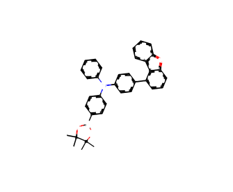 CC1(C)OB(c2ccc(N(c3ccccc3)c3ccc(-c4cccc5oc6ccccc6c45)cc3)cc2)OC1(C)C